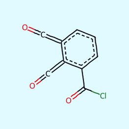 O=C=c1cccc(C(=O)Cl)c1=C=O